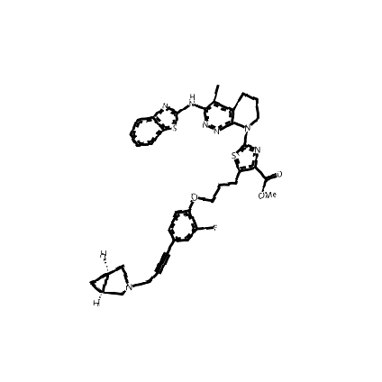 COC(=O)c1nc(N2CCCc3c2nnc(Nc2nc4ccccc4s2)c3C)sc1CCCOc1ccc(C#CCN2C[C@H]3C[C@H]3C2)cc1F